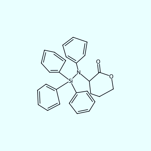 O=C1OCCCC1N(c1ccccc1)[Si](c1ccccc1)(c1ccccc1)c1ccccc1